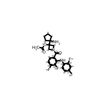 CC(=O)OC1(C2(N)CCCC2)CN(C(=O)c2ccc(F)c(F)c2Nc2ccc(I)cc2F)C1